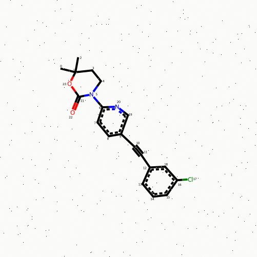 CC1(C)CCN(c2ccc(C#Cc3cccc(Cl)c3)cn2)C(=O)O1